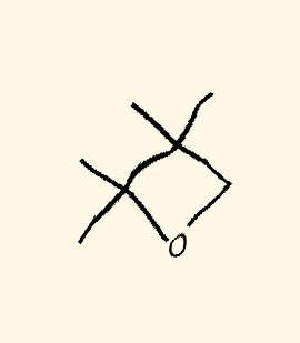 CC1(C)COC1(C)C